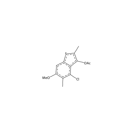 COc1cc2sc(C)c(OC(C)=O)c2c(Cl)c1C